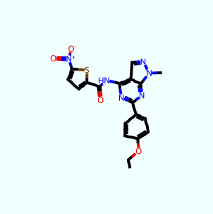 CCOc1ccc(-c2nc(NC(=O)c3ccc([N+](=O)[O-])s3)c3cnn(C)c3n2)cc1